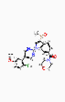 C[S+]([O-])c1cn(-c2ncc(-c3cc(OC(F)(F)F)ccc3F)cn2)c2cc(C(=O)N3CCOCC3)ccc12